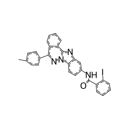 Cc1ccc(-c2nn3c4ccc(NC(=O)c5ccccc5I)cc4nc3c3ccccc23)cc1